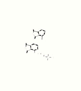 C[SiH2]O[Si](C)(C)C.O=C1NC(=O)c2c(O)cccc21.O=C1NC(=O)c2c(O)cccc21